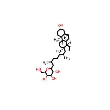 CC(CCC[C@@H](C)[C@H]1CC[C@H]2[C@@H]3CC=C4C[C@@H](O)CC[C@]4(C)[C@H]3CC[C@]12C)CC1O[C@H](CO)[C@H](O)[C@H](O)[C@H]1O